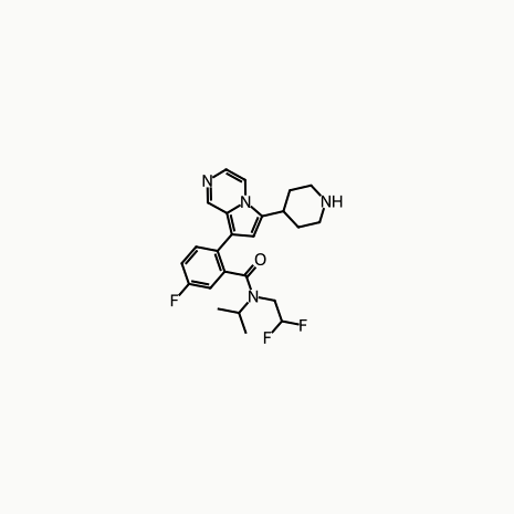 CC(C)N(CC(F)F)C(=O)c1cc(F)ccc1-c1cc(C2CCNCC2)n2ccncc12